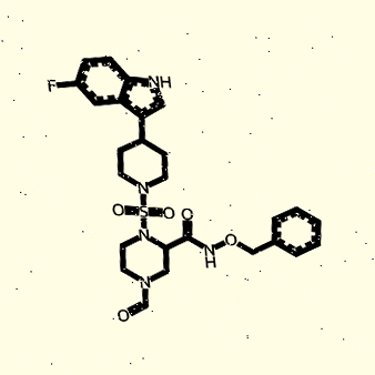 O=CN1CCN(S(=O)(=O)N2CCC(c3c[nH]c4ccc(F)cc34)CC2)C(C(=O)NOCc2ccccc2)C1